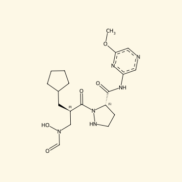 COc1cncc(NC(=O)[C@@H]2CCNN2C(=O)[C@H](CC2CCCC2)CN(O)C=O)n1